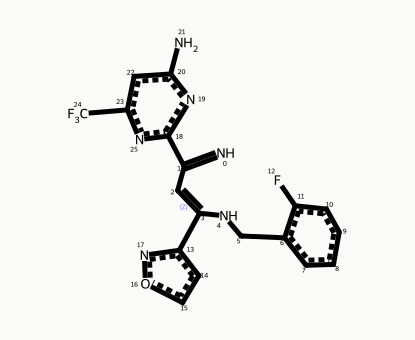 N=C(/C=C(\NCc1ccccc1F)c1ccon1)c1nc(N)cc(C(F)(F)F)n1